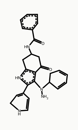 NN(c1c(C2=CCNC=C2)[nH]c2c1C(=O)CC(NC(=O)c1ccccc1)C2)C1C=CC=CC1